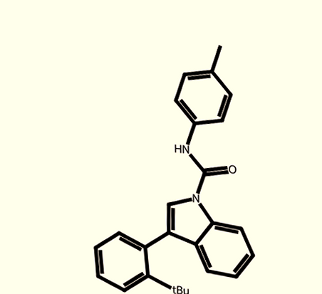 Cc1ccc(NC(=O)n2cc(-c3ccccc3C(C)(C)C)c3ccccc32)cc1